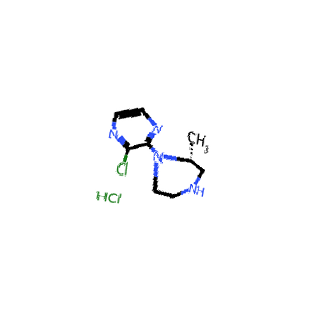 C[C@@H]1CNCCN1c1nccnc1Cl.Cl